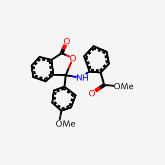 COC(=O)c1ccccc1NC1(c2ccc(OC)cc2)OC(=O)c2ccccc21